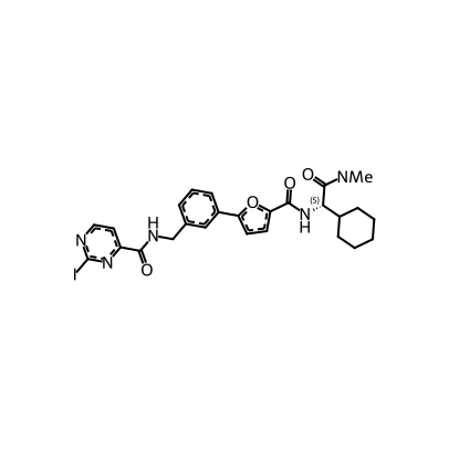 CNC(=O)[C@@H](NC(=O)c1ccc(-c2cccc(CNC(=O)c3ccnc(I)n3)c2)o1)C1CCCCC1